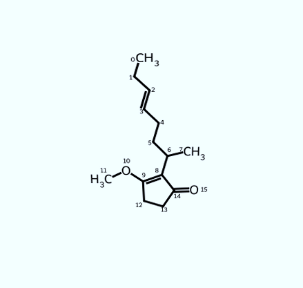 CC/C=C/CCC(C)C1=C(OC)CCC1=O